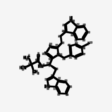 CC(C)(N)C(=O)N[C@H](Cc1c[nH]c2ccccc12)c1nnc(CCc2c[nH]c3ccccc23)n1Cc1ccc(F)cc1